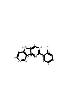 Fc1ccccc1-c1ncc2[nH]c3ccncc3c2n1